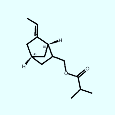 CC=C1C[C@H]2CC(COC(=O)C(C)C)[C@@H]1C2